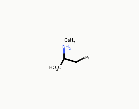 CC(C)CC(N)C(=O)O.[CaH2]